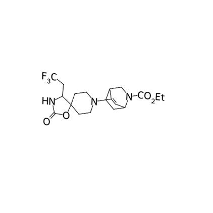 CCOC(=O)N1CC2CCC1C=C2N1CCC2(CC1)OC(=O)NC2CC(F)(F)F